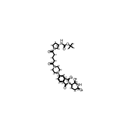 CC(C)(C)OC(=O)N[C@H]1CCN(C(=O)CCCC(=O)N2CCN(c3ccc4c(c3)C(=O)N(C3CCC(=O)NC3=O)C4=O)CC2)C1